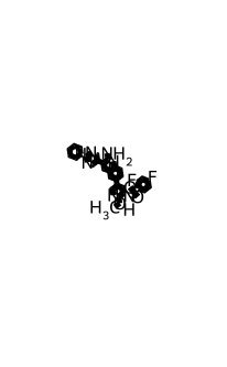 COc1ncc(-c2ccc3nc(N)c(-c4cnc(N5CCCCC5)nc4)cc3c2)cc1NS(=O)(=O)c1ccc(F)cc1F